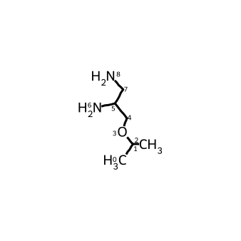 CC(C)OCC(N)CN